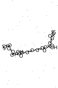 CC(CO)(COC(=O)OCCOCCOCCOCCOC(=O)OCC(C)(CO)C(=O)OCCOC(=O)C1(C)CSSC1)C(=O)OCCOC(=O)C1(C)CSSC1